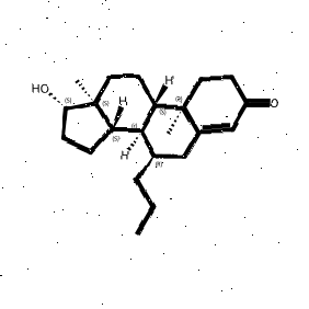 CCC[C@@H]1CC2=CC(=O)CC[C@]2(C)[C@H]2CC[C@]3(C)[C@@H](O)CC[C@H]3[C@H]12